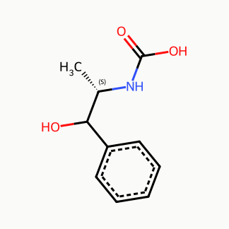 C[C@H](NC(=O)O)C(O)c1ccccc1